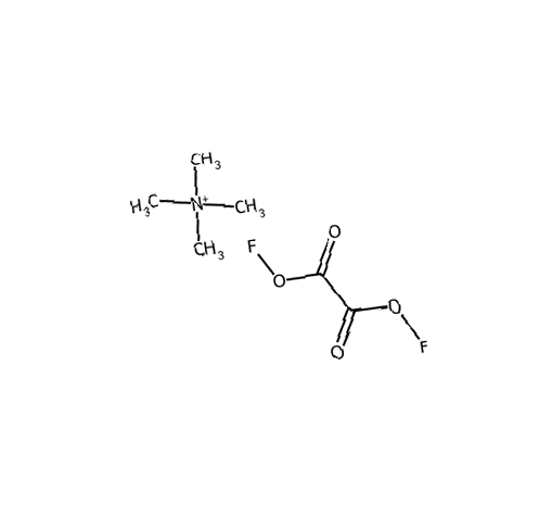 C[N+](C)(C)C.O=C(OF)C(=O)OF